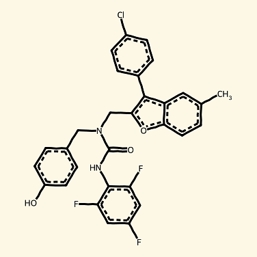 Cc1ccc2oc(CN(Cc3ccc(O)cc3)C(=O)Nc3c(F)cc(F)cc3F)c(-c3ccc(Cl)cc3)c2c1